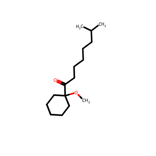 COC1(C(=O)CCCCCC(C)C)CCCCC1